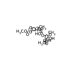 CCOC(=O)C1COc2cc(C[C@@H](C)NC(=O)[C@@H](O)COc3cc(NS(C)(=O)=O)c(O)c(OC)c3)ccc2O1